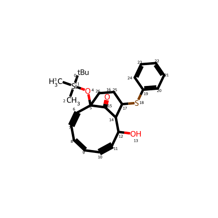 CC(C)(C)[Si](C)(C)OC12C#CC=CC#CC(O)C(C1=O)C(Sc1ccccc1)CC2